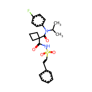 CC(C)N(C(=O)C1(C(=O)NS(=O)(=O)C=Cc2ccccc2)CCC1)c1ccc(F)cc1